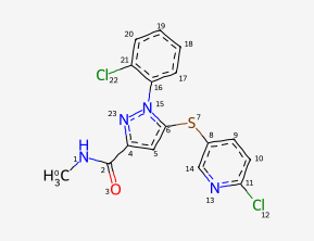 CNC(=O)c1cc(Sc2ccc(Cl)nc2)n(-c2ccccc2Cl)n1